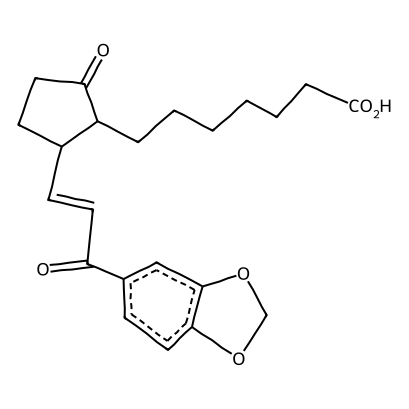 O=C(O)CCCCCCC1C(=O)CCC1/C=C/C(=O)c1ccc2c(c1)OCO2